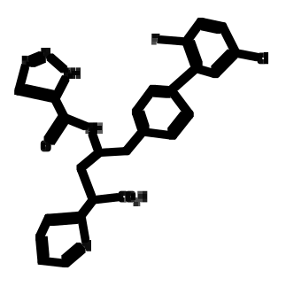 O=C(NC(Cc1ccc(-c2cc(Cl)ccc2F)cc1)CC(C(=O)O)c1ccccn1)c1cnn[nH]1